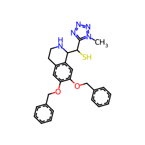 Cn1nnnc1C(S)C1NCCc2cc(OCc3ccccc3)c(OCc3ccccc3)cc21